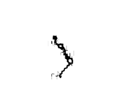 C=C(CC)NCCCCCCCN1CCCn2nc(C(=O)Nc3nc4ccc(NS(=O)(=O)c5cccs5)cc4s3)cc2C1